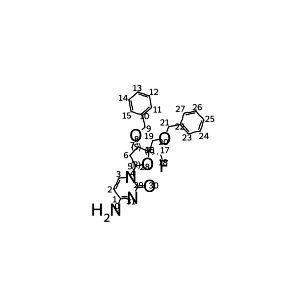 Nc1ccn([C@H]2C[C@H](OCc3ccccc3)[C@@](CF)(COCc3ccccc3)O2)c(=O)n1